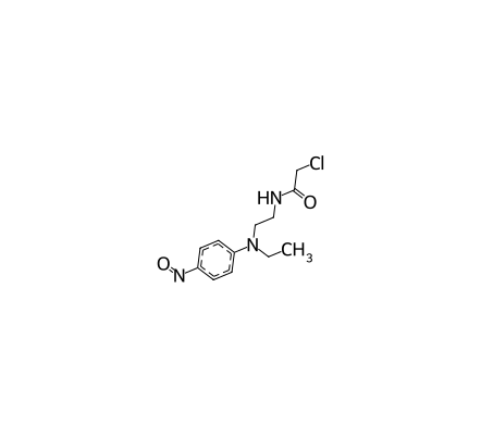 CCN(CCNC(=O)CCl)c1ccc(N=O)cc1